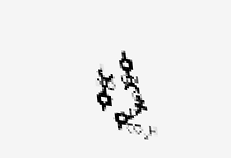 Cc1ccc(-c2nc(CI)c(C)o2)cc1.Cc1ccc(-c2nc(COCC(C)(C)COCc3cccc(C)c3C(=O)O)c(C)o2)cc1